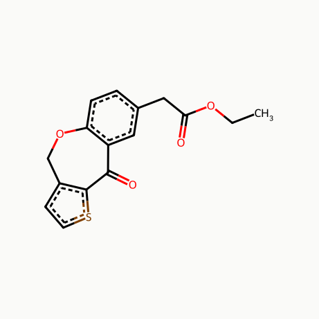 CCOC(=O)Cc1ccc2c(c1)C(=O)c1sccc1CO2